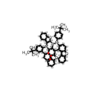 CC(C)(C)c1ccc(N2B3c4oc5ccccc5c4N(c4ccc(C(C)(C)C)cc4-c4ccccc4)c4cc5c(oc6ccccc65)c(c43)-c3c2ccc2oc4ccccc4c32)cc1